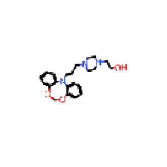 OCCN1CCN(CCCN2c3ccccc3OCOc3ccccc32)CC1